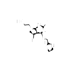 OCCn1cc(F)c2c(NCc3nccs3)nc(Cl)nc21